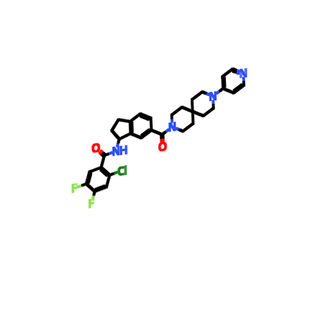 O=C(NC1CCc2ccc(C(=O)N3CCC4(CC3)CCN(c3ccncc3)CC4)cc21)c1cc(F)c(F)cc1Cl